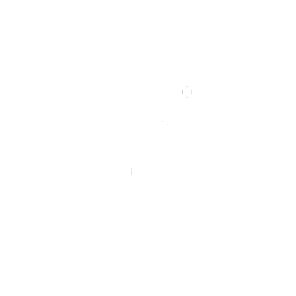 O=C(c1ccccc1)C1(F)C=CC=CC1